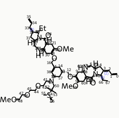 C=C/C=C1/C[C@H]2C=N[C@@H]3CC(OC[C@H]4CC(COC5=C(OC)C[C@H]6C(=O)N7[C@H](CN[C@H]6C5)C/C(=C/C=C)[C@@H]7CC)=C[C@@H](N(CCOCCOCCOC)CC(C)(C)S(C)=S)C4)=C(OC)C[C@@H]3C(=O)N2/C1=C/C